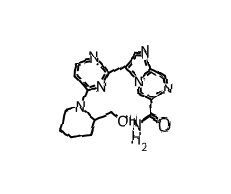 NC(=O)c1cn2c(-c3nccc(N4CCCCC4CO)n3)cnc2cn1